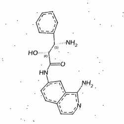 Nc1nccc2ccc(NC(=O)[C@H](O)[C@@H](N)c3ccccc3)cc12